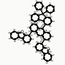 c1ccc(C2(c3ccccc3)c3ccccc3-c3c(-c4c5cccc(-c6cccc7c6oc6ccccc67)c5cc5c(-c6cccc7c6oc6ccccc67)cccc45)cccc32)cc1